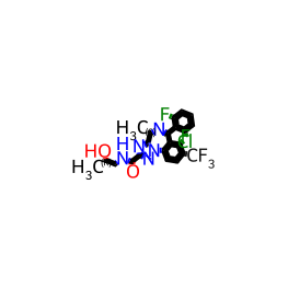 C[C@@H]1N=C(c2c(F)cccc2F)c2c(ccc(C(F)(F)F)c2Cl)-n2nc(C(=O)NC[C@@H](C)O)nc21